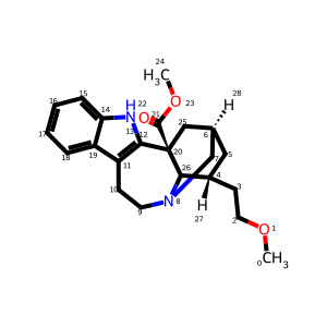 COCC[C@H]1C[C@H]2CN3CCc4c([nH]c5ccccc45)[C@](C(=O)OC)(C2)C13